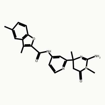 Cc1ccc2oc(C(=O)Nc3ccnc(C4(C)CC(=O)N(C)C(N)=N4)c3)c(C)c2c1